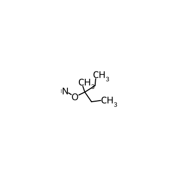 CCC(C)(CC)O[N]